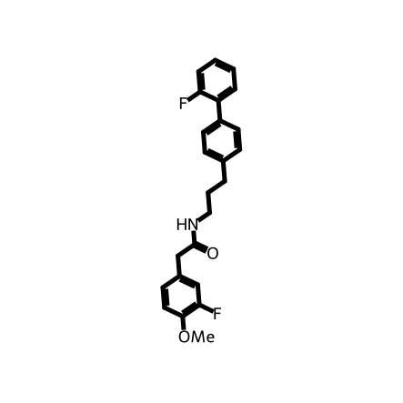 COc1ccc(CC(=O)NCCCc2ccc(-c3ccccc3F)cc2)cc1F